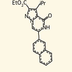 CCOC(=O)c1nn2cc(-c3ccc4ccccc4c3)[nH]c(=O)c2c1C(C)C